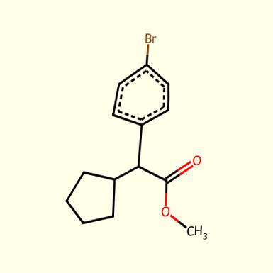 COC(=O)C(c1ccc(Br)cc1)C1CCCC1